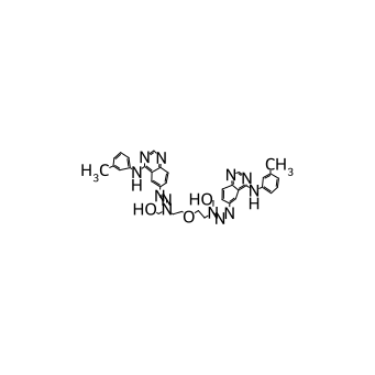 Cc1cccc(Nc2ncnc3ccc(/N=N\N(CO)CCOCCN(CO)/N=N/c4ccc5ncnc(Nc6cccc(C)c6)c5c4)cc23)c1